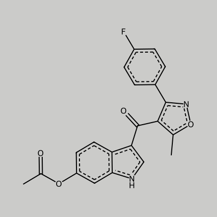 CC(=O)Oc1ccc2c(C(=O)c3c(-c4ccc(F)cc4)noc3C)c[nH]c2c1